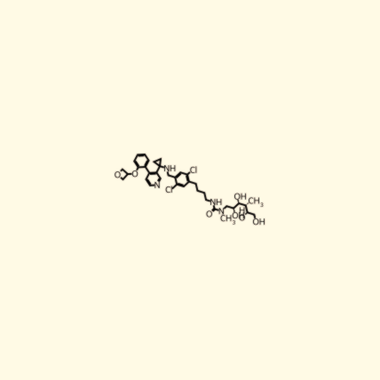 C[C@@H]([C@H](O)[C@@H](O)CN(C)C(=O)NCCCCc1cc(Cl)c(CNC2(c3cnccc3-c3ccccc3OC3COC3)CC2)cc1Cl)[C@H](O)CO